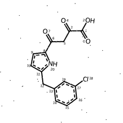 O=C(O)C(=O)CC(=O)c1ccc(Cc2cccc(Cl)c2)[nH]1